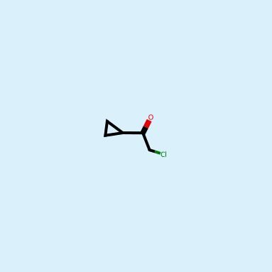 O=C(CCl)C1CC1